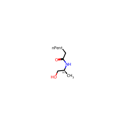 CCCCCCC(=O)N[C@@H](C)CO